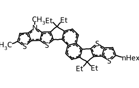 CCCCCCc1cc2sc3c(c2s1)C(CC)(CC)c1ccc2c4c(ccc2c1-3)C(CC)(CC)c1c-4sc2c3sc(C)cc3n(C)c12